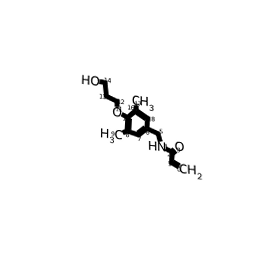 C=CC(=O)NCc1cc(C)c(OCCCO)c(C)c1